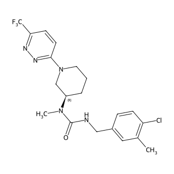 Cc1cc(CNC(=O)N(C)[C@@H]2CCCN(c3ccc(C(F)(F)F)nn3)C2)ccc1Cl